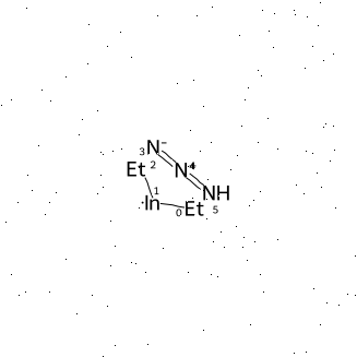 C[CH2][In][CH2]C.[N-]=[N+]=N